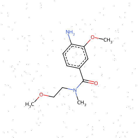 COCCN(C)C(=O)c1ccc(N)c(OC)c1